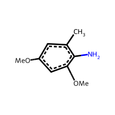 COc1cc(C)c(N)c(OC)c1